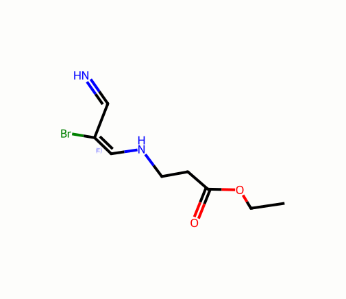 CCOC(=O)CCN/C=C(/Br)C=N